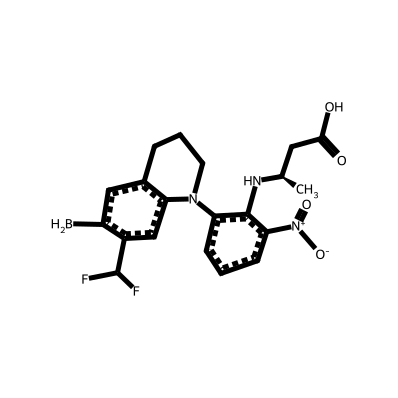 Bc1cc2c(cc1C(F)F)N(c1cccc([N+](=O)[O-])c1N[C@H](C)CC(=O)O)CCC2